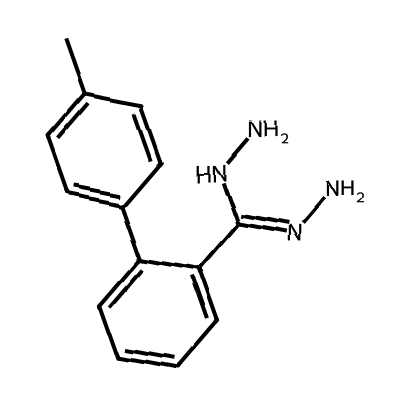 Cc1ccc(-c2ccccc2/C(=N/N)NN)cc1